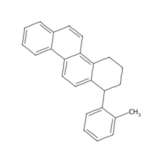 Cc1ccccc1C1CCCc2c1ccc1c2ccc2ccccc21